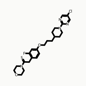 Fc1cc(OCCCC2CCN(c3ncc(Cl)cn3)CC2)ccc1CC(=S)N1CCOCC1